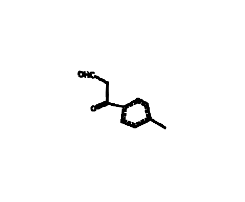 Cc1ccc(C(=O)CC=O)cc1